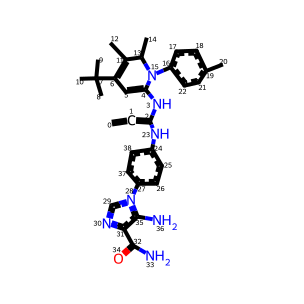 C=C=C(NC1=CC(C(C)(C)C)=C(C)C(C)N1c1ccc(C)cc1)Nc1ccc(-n2cnc(C(N)=O)c2N)cc1